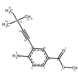 COC(=O)c1cnc(N)c(C#C[Si](C)(C)C)c1